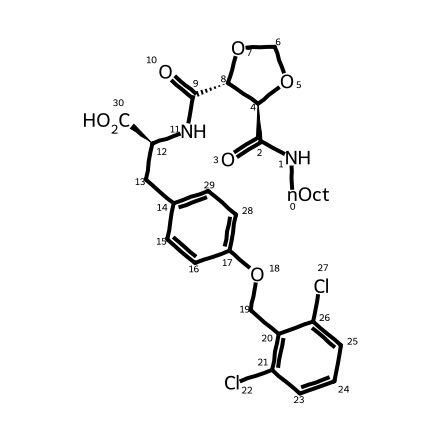 CCCCCCCCNC(=O)[C@@H]1OCO[C@H]1C(=O)N[C@@H](Cc1ccc(OCc2c(Cl)cccc2Cl)cc1)C(=O)O